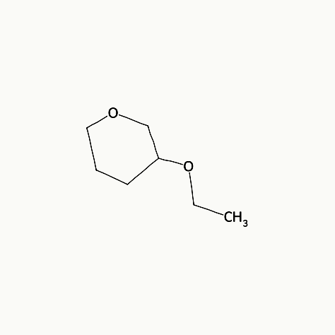 CCOC1CCCOC1